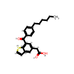 CCCCCCc1ccc(C(=O)c2cc(CC(=O)O)cc3ccsc23)cc1